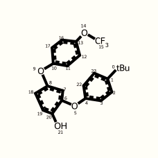 CC(C)(C)c1ccc(Oc2cc(Oc3ccc(OC(F)(F)F)cc3)ccc2O)cc1